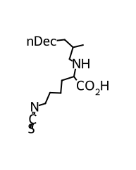 CCCCCCCCCCCC(C)CNC(CCCCN=C=S)C(=O)O